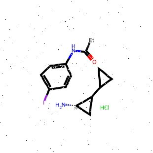 CCC(=O)Nc1ccc(I)cc1.Cl.N[C@H]1CC1C1CC1